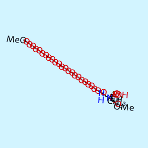 COCCOCCOCCOCCOCCOCCOCCOCCOCCOCCOCCOCCOCCOCCOCCOCCOCCOCCOCCOCCOCCOCCOCCOCCNC(=O)CCCCC[N+]1=C(C)C(C)(CCCCCC(=O)OC)c2cc(SOOO)ccc21